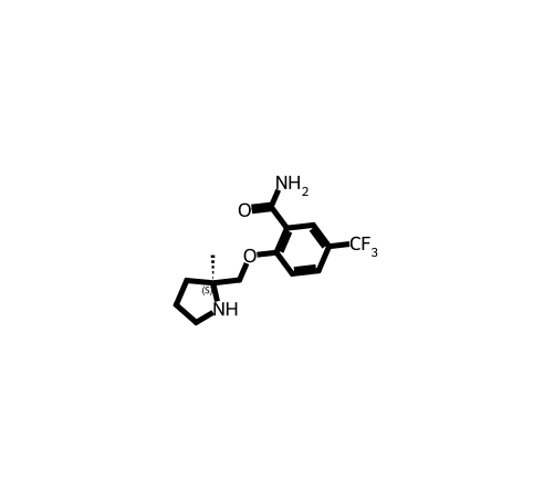 C[C@@]1(COc2ccc(C(F)(F)F)cc2C(N)=O)CCCN1